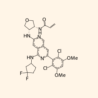 C=CC(=O)N[C@H]1COC[C@H]1Nc1cc2c(NC3CCC(F)(F)C3)nc(-c3c(Cl)c(OC)cc(OC)c3Cl)cc2cn1